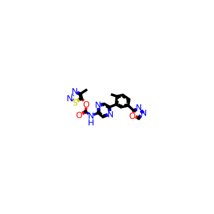 Cc1ccc(-c2nnco2)cc1-c1cnc(NC(=O)Oc2snnc2C)cn1